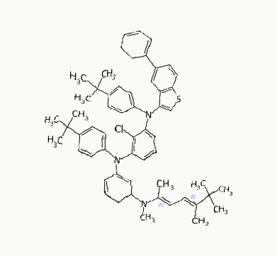 C/C(=C\C=C(/C)C(C)(C)C)N(C)C1C=C(N(c2ccc(C(C)(C)C)cc2)c2cccc(N(c3ccc(C(C)(C)C)cc3)c3csc4ccc(C5=CC=CCC5)cc34)c2Cl)C=CC1